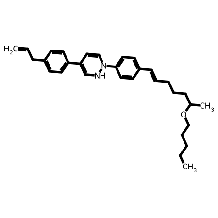 C=CCc1ccc(C2=CNN(c3ccc(C=CCCCC(C)OCCCCC)cc3)C=C2)cc1